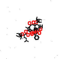 CC[Si](CC)(CC)OC(C(=O)O[C@H]1C[C@@]2(O)[C@@H](OC(=O)c3ccccc3)[C@@H]3[C@]4(OC(C)=O)CO[C@@H]4C[C@H](O[Si](CC)(CC)CC)[C@@]3(C)C(=O)C(=O)C(=C1C)C2(C)C)[C@@H](C)CC(C)C